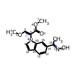 CO/C=C(/C(=O)OC)n1ccc2ccc(/C(C)=N/O)cc21